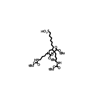 CC(C)(C)OC(=O)NCCCCN(CC(CCCCCCCS(=O)(=O)O)C(N)(CCCCNC(=O)OC(C)(C)C)C(=O)OC(C)(C)C)C(=O)OC(C)(C)C